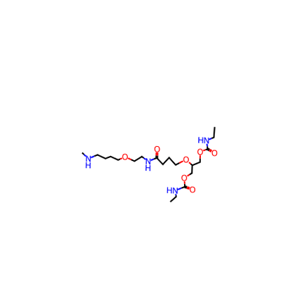 CCNC(=O)OCC(COC(=O)NCC)OCCCC(=O)NCCOCCCCNC